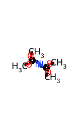 CCOc1cc(C=NN=Cc2cc(OCC)cc(OCC)c2)cc(OCC)c1